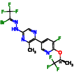 Cc1nc(NN=C(Br)C(F)(F)F)cnc1-c1cnc(O[C@@H](C)C(F)(F)F)c(F)c1